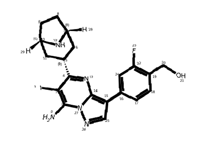 Nc1c(I)c([C@H]2C[C@H]3CC[C@@H](C2)N3)nc2c(-c3ccc(CO)c(F)c3)cnn12